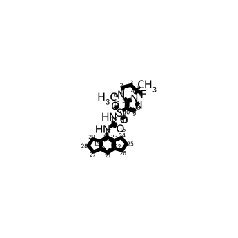 CN1CC[C@@](C)(F)n2ncc(S(=O)(=O)NC(=O)Nc3c4c(cc5c3CCC5)CCC4)c21